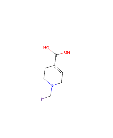 OB(O)C1=CCN(CI)CC1